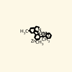 COC1(c2ccccn2)C(c2cccc(C)c2)=CC=CC1C(C)(C)c1ccccc1.[CH3][Zr]